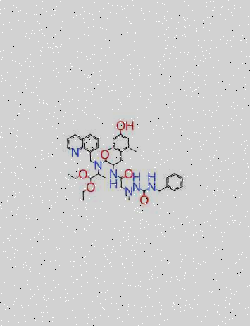 CCOC(OCC)C(C)N(Cc1cccc2cccnc12)C(=O)C(Cc1c(C)cc(O)cc1C)NC(=O)CN(C)NC(=O)NCc1ccccc1